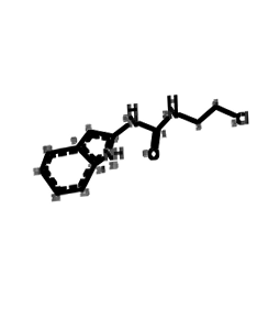 O=C(NCCCl)Nc1cc2ccccc2[nH]1